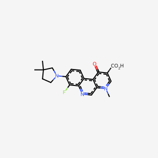 Cn1cc(C(=O)O)c(=O)c2c3ccc(N4CCC(C)(C)C4)c(F)c3ncc21